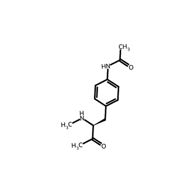 CN[C@@H](Cc1ccc(NC(C)=O)cc1)C(C)=O